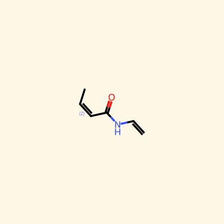 C=CNC(=O)/C=C\C